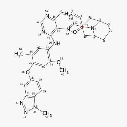 C=CC(=O)N1C2CCCC1CC(c1ccc3ncnc(Nc4cc(C)c(Oc5ccc6c(c5)nnn6C)cc4OC)c3n1)C2